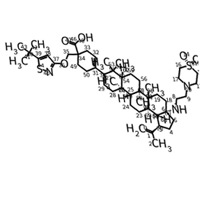 C=C(C)[C@@H]1CC[C@]2(NCCN3CCS(=O)(=O)CC3)CC[C@]3(C)[C@H](CC[C@@H]4[C@@]5(C)CC=C(C6=CCC(COc7cc(C(C)(C)C)sn7)(C(=O)O)CC6)C(C)(C)[C@@H]5CC[C@]43C)[C@@H]12